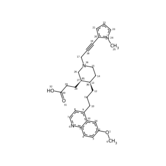 COc1ccc2nccc(CCC[C@@H]3CCN(CC#Cc4cccn4C)C[C@@H]3CCC(=O)O)c2c1